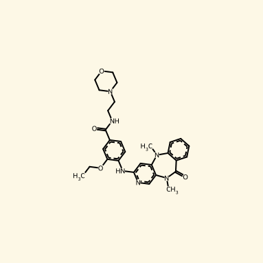 CCOc1cc(C(=O)NCCN2CCOCC2)ccc1Nc1cc2c(cn1)N(C)C(=O)c1ccccc1N2C